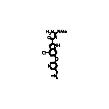 CNC(N)=NC(=O)c1cc2c(Cl)cc(Oc3cncc(CN(C)C)c3)cc2[nH]1